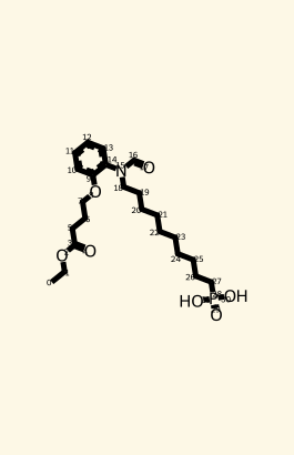 CCOC(=O)CCCOc1ccccc1N(C=O)CCCCCCCCCCP(=O)(O)O